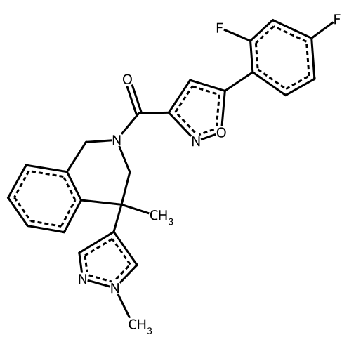 Cn1cc(C2(C)CN(C(=O)c3cc(-c4ccc(F)cc4F)on3)Cc3ccccc32)cn1